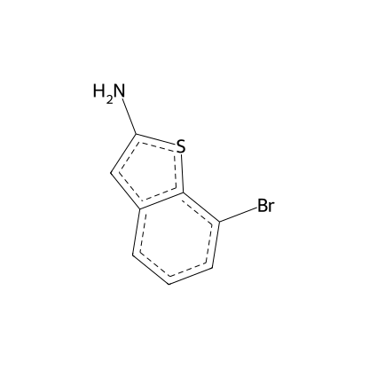 Nc1cc2cccc(Br)c2s1